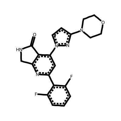 O=C1NCc2nc(-c3c(F)cccc3F)cc(-n3ccc(N4CCOCC4)n3)c21